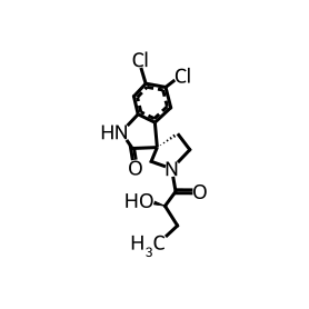 CC[C@@H](O)C(=O)N1CC[C@]2(C1)C(=O)Nc1cc(Cl)c(Cl)cc12